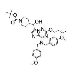 CCCCOc1nc(N(Cc2ccc(OC)cc2)Cc2ccc(OC)cc2)c2ncc(C(O)C3CCN(C(=O)OC(C)(C)C)CC3)n2n1